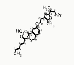 CC=CC=CC(=O)N1CCc2ccc(OCCc3nc(/C(C)=C\CCC)oc3C)cc2C1C(=O)O